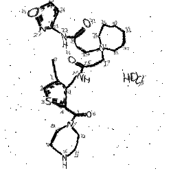 Cc1csc(C(=O)N2CCNCC2)c1NC(=O)C[N+]1(CC(=O)Nc2ccon2)CCCCCC1.Cl.[Cl-]